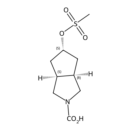 CS(=O)(=O)O[C@H]1C[C@@H]2CN(C(=O)O)C[C@@H]2C1